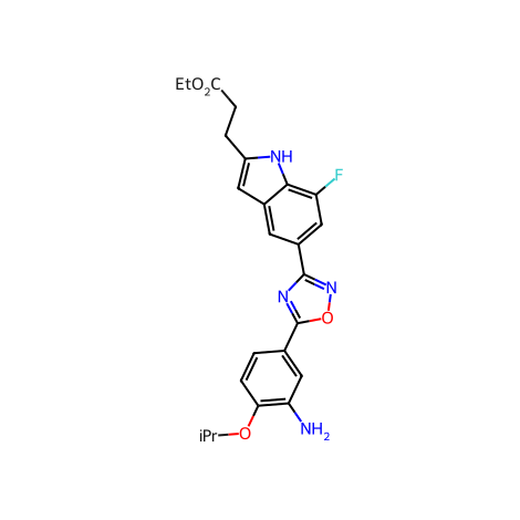 CCOC(=O)CCc1cc2cc(-c3noc(-c4ccc(OC(C)C)c(N)c4)n3)cc(F)c2[nH]1